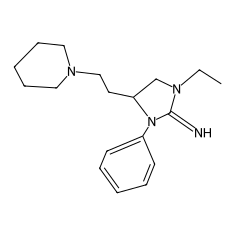 CCN1CC(CCN2CCCCC2)N(c2ccccc2)C1=N